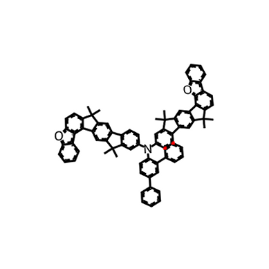 CC1(C)c2cc(N(c3ccc4c(c3)C(C)(C)c3cc5c(cc3-4)C(C)(C)c3ccc4oc6ccccc6c4c3-5)c3ccc(-c4ccccc4)cc3-c3ccccc3)ccc2-c2cc3c(cc21)-c1c(ccc2c1oc1ccccc12)C3(C)C